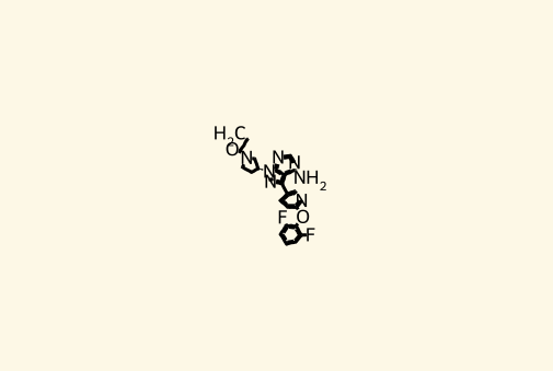 C=CC(=O)N1CC[C@@H](n2nc(-c3ccc(Oc4c(F)cccc4F)nc3)c3c(N)ncnc32)C1